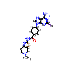 CN1CCc2nc(NC(=O)C3CCC(n4cnc5c(N)nc(I)nc54)CC3)sc2C1